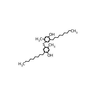 CCCCCCCCCc1cc(Sc2cc(CCCCCCCCC)c(O)cc2C)c(C)cc1O